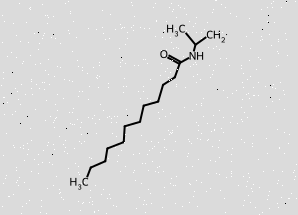 [CH2]C(C)NC(=O)CCCCCCCCCCC